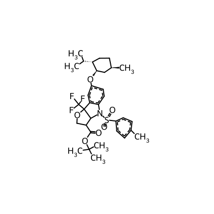 Cc1ccc(S(=O)(=O)N2c3ccc(O[C@@H]4C[C@H](C)CC[C@H]4C(C)C)cc3C3(C(F)(F)F)OCC(C(=O)OC(C)(C)C)C23)cc1